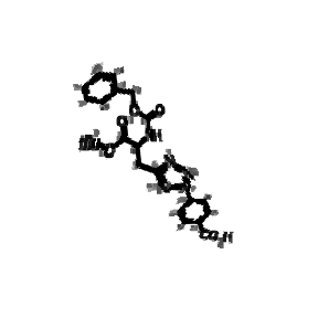 CC(C)(C)OC(=O)C(Cc1nnn(-c2ccc(C(=O)O)cc2)n1)NC(=O)OCc1ccccc1